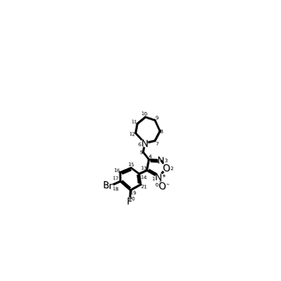 [O-][n+]1onc(CN2CCCCCC2)c1-c1ccc(Br)c(F)c1